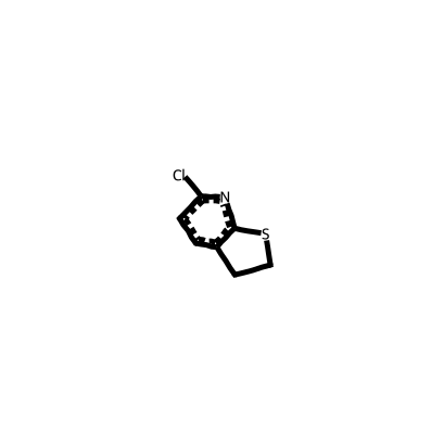 Clc1ccc2c(n1)SCC2